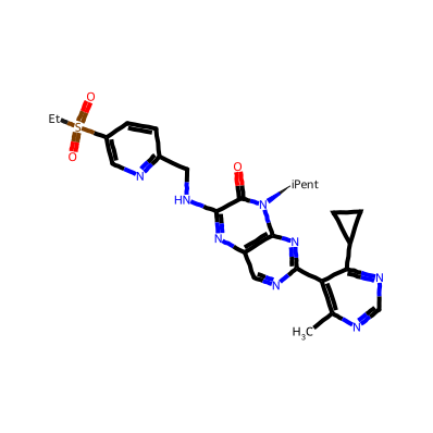 CCC[C@H](C)n1c(=O)c(NCc2ccc(S(=O)(=O)CC)cn2)nc2cnc(-c3c(C)ncnc3C3CC3)nc21